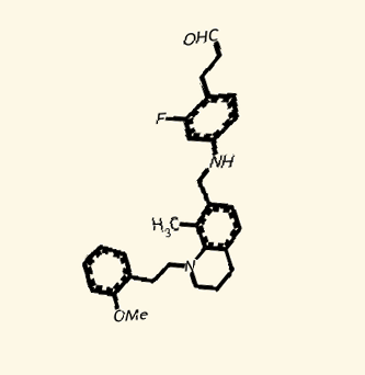 COc1ccccc1CCN1CCCc2ccc(CNc3ccc(CCC=O)c(F)c3)c(C)c21